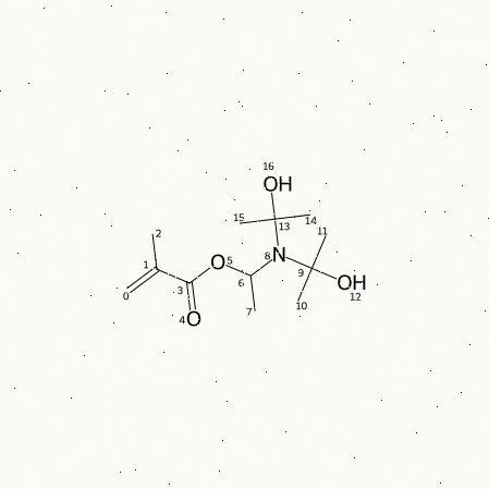 C=C(C)C(=O)OC(C)N(C(C)(C)O)C(C)(C)O